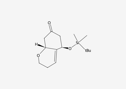 CC(C)(C)[Si](C)(C)O[C@@H]1CC(=O)C[C@H]2OCCC=C21